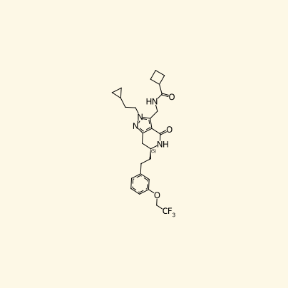 O=C1N[C@@H](CCc2cccc(OCC(F)(F)F)c2)Cc2nn(CCC3CC3)c(CNC(=O)C3CCC3)c21